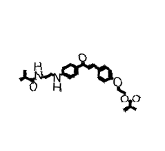 C=C(C)C(=O)NCCNc1ccc(C(=O)/C=C/c2ccc(OCCOC(=O)C(=C)C)cc2)cc1